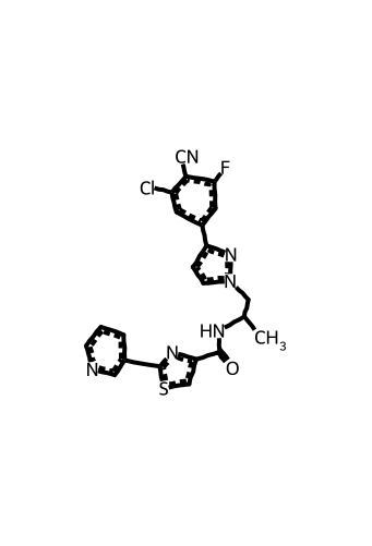 CC(Cn1ccc(-c2cc(F)c(C#N)c(Cl)c2)n1)NC(=O)c1csc(-c2cccnc2)n1